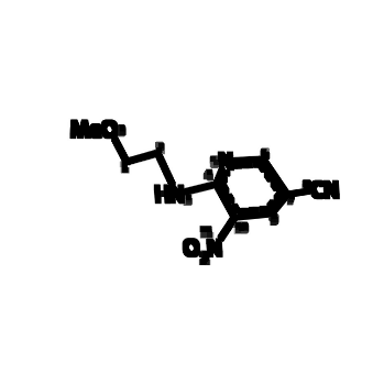 COCCNc1ncc(C#N)cc1[N+](=O)[O-]